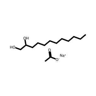 CC(=O)[O-].CCCCCCCCCCC(O)CO.[Na+]